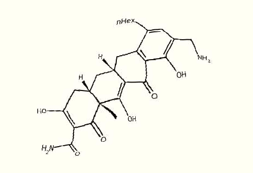 CCCCCCc1cc(CN)c(O)c2c1C[C@H]1C[C@H]3CC(O)=C(C(N)=O)C(=O)[C@@]3(C)C(O)=C1C2=O